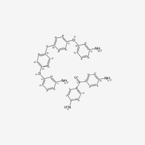 Nc1ccc(C(=O)c2ccc(N)cc2)cc1.Nc1cccc(Oc2ccc(Cc3ccc(Oc4cccc(N)c4)cc3)cc2)c1